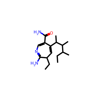 CCC1C=C(C(C)C(C)C(C)CC)C(C(N)=O)=CN=C1N